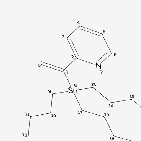 C=[C](c1ccccn1)[Sn]([CH2]CCC)([CH2]CCC)[CH2]CCC